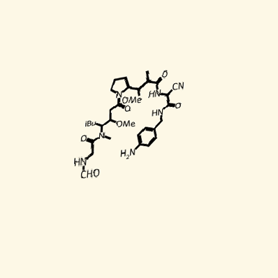 CCC(C)C(C(CC(=O)N1CCCC1C(OC)C(C)C(=O)NC(C#N)C(=O)NCc1ccc(N)cc1)OC)N(C)C(=O)CNC=O